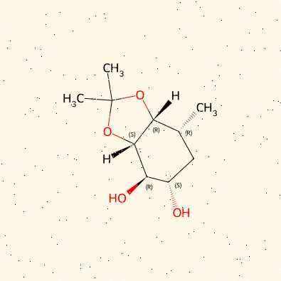 C[C@@H]1C[C@H](O)[C@@H](O)[C@@H]2OC(C)(C)O[C@@H]21